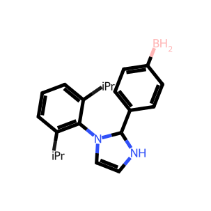 Bc1ccc(C2NC=CN2c2c(C(C)C)cccc2C(C)C)cc1